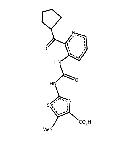 CSc1sc(NC(=O)Nc2cccnc2C(=O)C2CCCC2)nc1C(=O)O